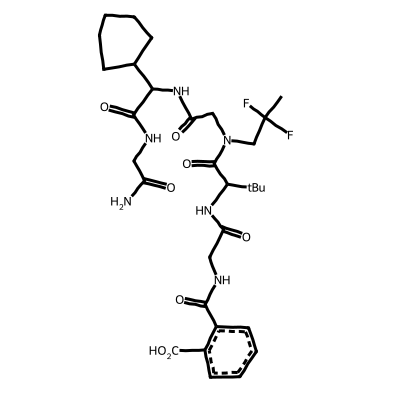 CC(F)(F)CN(CC(=O)NC(C(=O)NCC(N)=O)C1CCCCC1)C(=O)C(NC(=O)CNC(=O)c1ccccc1C(=O)O)C(C)(C)C